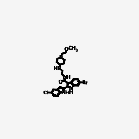 COCCN1CCC(NCCNC(=O)c2c(-c3cc4cc(Cl)ccc4[nH]3)[nH]c3cc(Br)ccc23)CC1